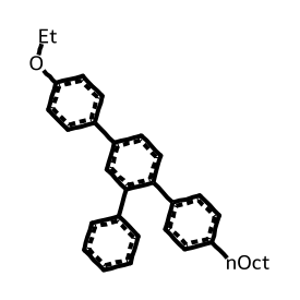 CCCCCCCCc1ccc(-c2ccc(-c3ccc(OCC)cc3)cc2-c2ccccc2)cc1